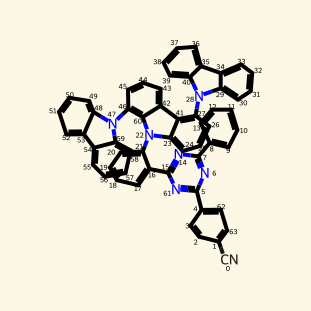 N#Cc1ccc(-c2nc(-c3ccccc3)nc(-c3ccccc3-n3c4cccc(-n5c6ccccc6c6ccccc65)c4c4cccc(-n5c6ccccc6c6ccccc65)c43)n2)cc1